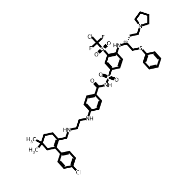 CC1(C)CCC(CNCCNc2ccc(C(=O)NS(=O)(=O)c3ccc(N[C@H](CCN4CCCC4)CSc4ccccc4)c(S(=O)(=O)C(F)(F)Cl)c3)cc2)=C(c2ccc(Cl)cc2)C1